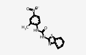 Cc1cc([N+](=O)[O-])ccc1NC(=O)Nc1nc2ccccc2s1